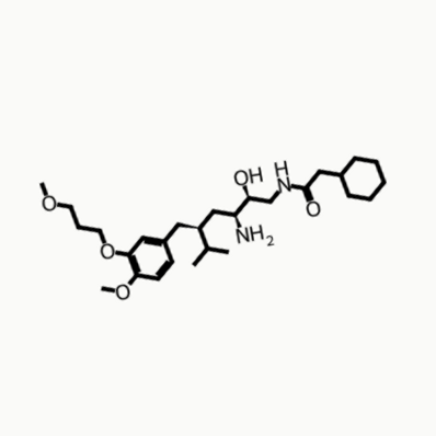 COCCCOc1cc(C[C@@H](C[C@H](N)[C@@H](O)CNC(=O)CC2CCCCC2)C(C)C)ccc1OC